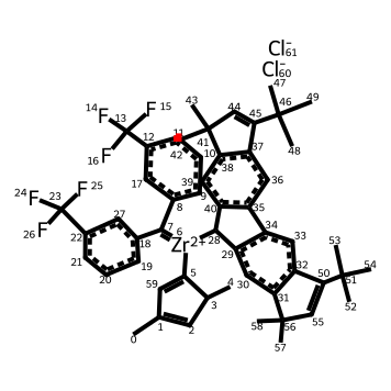 CC1=CC(C)[C]([Zr+2](=[C](c2cccc(C(F)(F)F)c2)c2cccc(C(F)(F)F)c2)[CH]2c3cc4c(cc3-c3cc5c(cc32)C(C)(C)C=C5C(C)(C)C)C(C(C)(C)C)=CC4(C)C)=C1.[Cl-].[Cl-]